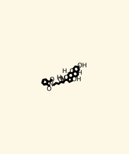 CC12CCC3C(CC[C@@H]4C[C@@H](O)CC[C@]34C)C1(O)CCC2c1cc(CCCN2C(=O)c3ccccc3C2=O)on1